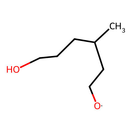 CC(CC[O])CCCO